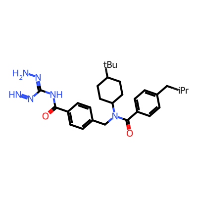 CC(C)Cc1ccc(C(=O)N(Cc2ccc(C(=O)N/C(N=N)=N/N)cc2)C2CCC(C(C)(C)C)CC2)cc1